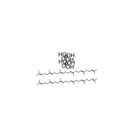 CC(C)=CCC/C(C)=C/CC/C(C)=C/CC/C=C(\C)CC/C=C(\C)CCC=C(C)C.CC(C)=CCC/C(C)=C/CC/C(C)=C/CC/C=C(\C)CC/C=C(\C)CCC=C(C)C.O=P(O)(O)O.O=P(O)(O)O